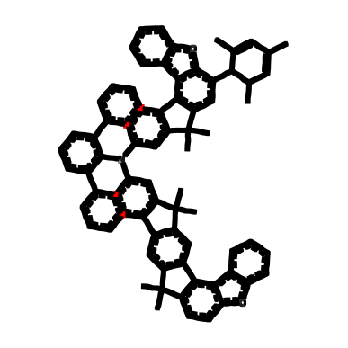 CC1=CC(C)C(c2cc3c(c4c2oc2ccccc24)-c2ccc(N(c4ccc5c(c4)C(C)(C)c4cc6c(cc4-5)C(C)(C)c4ccc5oc7ccccc7c5c4-6)c4c(-c5ccccc5)cccc4-c4ccccc4)cc2C3(C)C)C(C)=C1